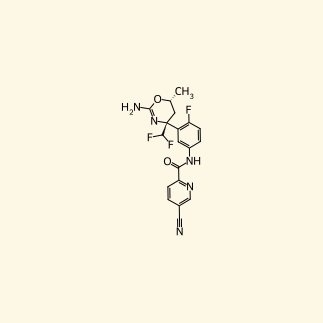 C[C@@H]1C[C@@](c2cc(NC(=O)c3ccc(C#N)cn3)ccc2F)(C(F)F)N=C(N)O1